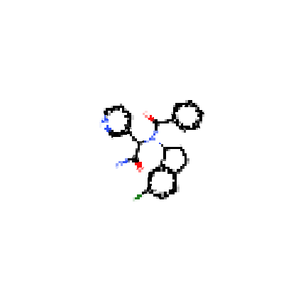 NC(=O)[C@@H](c1cccnc1)N(C(=O)c1ccccc1)[C@@H]1CCc2ccc(Cl)cc21